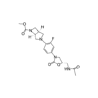 COC(=O)N1C[C@H]2CN(c3ccc(N4C[C@H](CNC(C)=O)OC4=O)cc3F)C[C@H]21